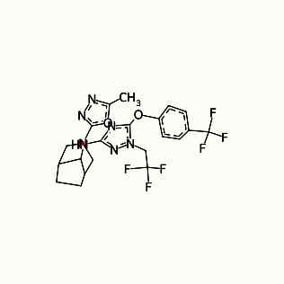 Cc1nnc(N2CC3CCC(C2)C3Nc2nc(Oc3ccc(C(F)(F)F)cc3)n(CC(F)(F)F)n2)o1